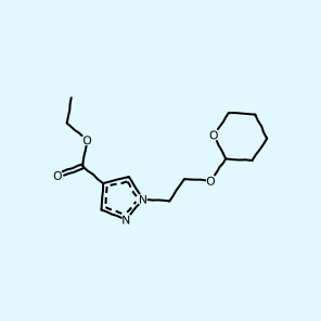 CCOC(=O)c1cnn(CCOC2CCCCO2)c1